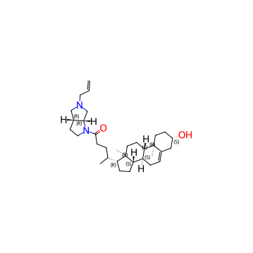 C=CCN1C[C@H]2CCN(C(=O)CCC(C)[C@H]3CC[C@H]4[C@@H]5CC=C6C[C@@H](O)CC[C@]6(C)[C@H]5CC[C@]34C)[C@H]2C1